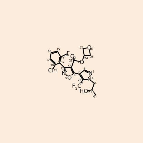 C[C@@H](O)Cn1ncc(-c2onc(-c3c(F)cccc3Cl)c2C(=O)OC2COC2)c1C(F)(F)F